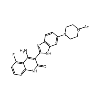 CC(=O)N1CCN(c2ccc3nc(-c4c(N)c5c(F)cccc5[nH]c4=O)[nH]c3c2)CC1